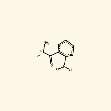 C[C@H](N)C(=O)c1[c]cccc1N(Cl)Cl